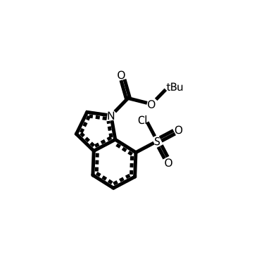 CC(C)(C)OC(=O)n1ccc2cccc(S(=O)(=O)Cl)c21